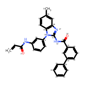 C=CC(=O)Nc1cccc(-n2c(NC(=O)c3cccc(-c4ccccc4)c3)nc3cc(C)ccc32)c1